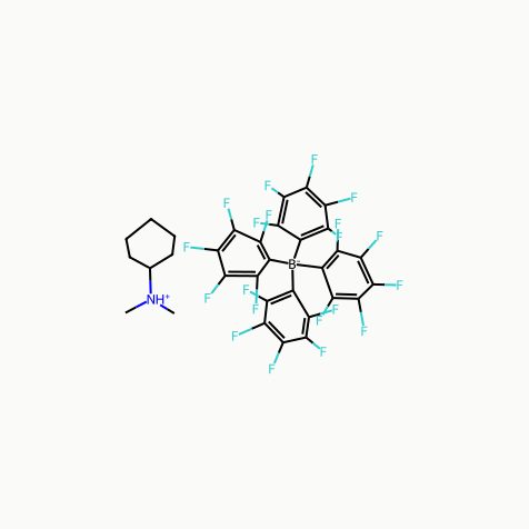 C[NH+](C)C1CCCCC1.Fc1c(F)c(F)c([B-](c2c(F)c(F)c(F)c(F)c2F)(c2c(F)c(F)c(F)c(F)c2F)c2c(F)c(F)c(F)c(F)c2F)c(F)c1F